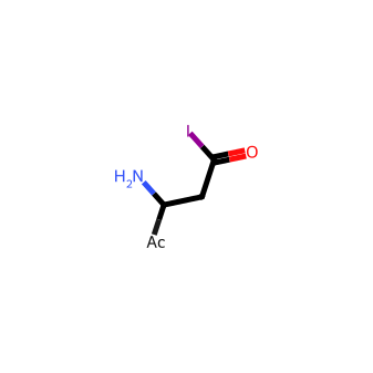 CC(=O)C(N)CC(=O)I